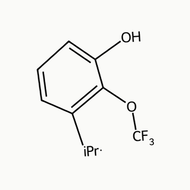 C[C](C)c1cccc(O)c1OC(F)(F)F